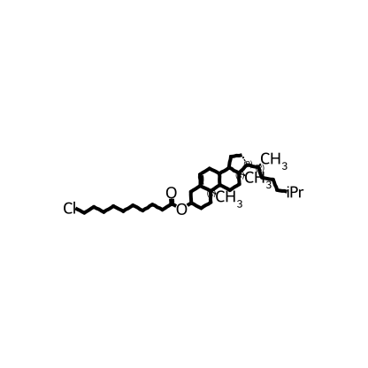 CC(C)CCC[C@@H](C)[C@H]1CCC2C3CC=C4CC(OC(=O)CCCCCCCCCCl)CC[C@]4(C)C3CC[C@@]21C